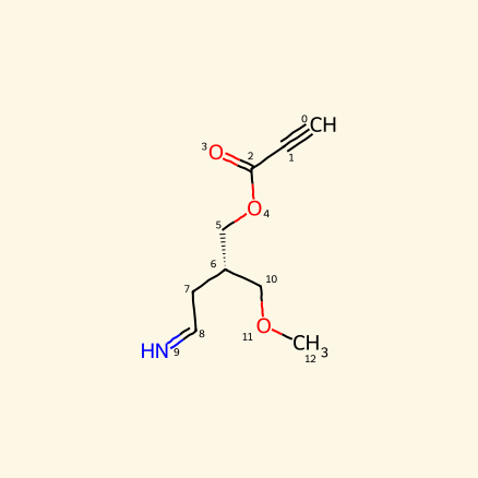 C#CC(=O)OC[C@@H](CC=N)COC